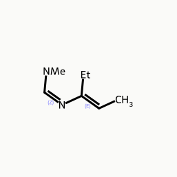 C/C=C(CC)/N=C\NC